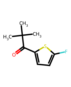 CC(C)(C)C(=O)c1ccc(F)s1